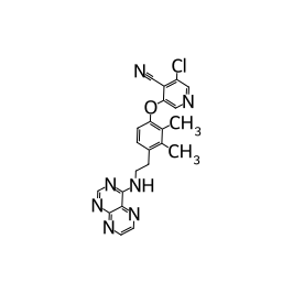 Cc1c(CCNc2ncnc3nccnc23)ccc(Oc2cncc(Cl)c2C#N)c1C